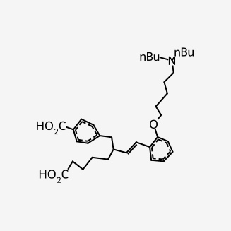 CCCCN(CCCC)CCCCCOc1ccccc1/C=C/C(CCCCC(=O)O)Cc1ccc(C(=O)O)cc1